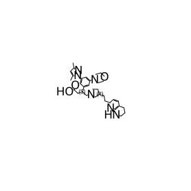 Cc1cc(C)n(-c2cc([C@H](CC(=O)O)CN3CC[C@@H](CCc4ccc5c(n4)NCCC5)C3)cc(N3CCOCC3)c2)n1